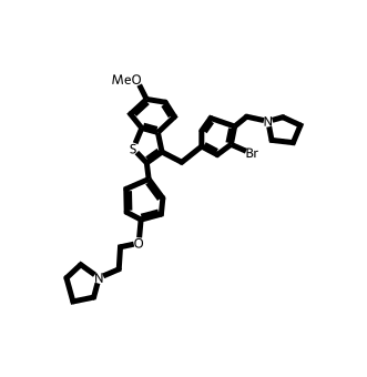 COc1ccc2c(Cc3ccc(CN4CCCC4)c(Br)c3)c(-c3ccc(OCCN4CCCC4)cc3)sc2c1